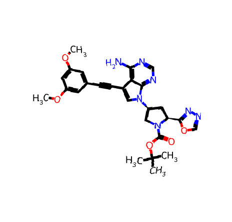 COc1cc(C#Cc2cn([C@H]3C[C@@H](c4nnco4)N(C(=O)OC(C)(C)C)C3)c3ncnc(N)c23)cc(OC)c1